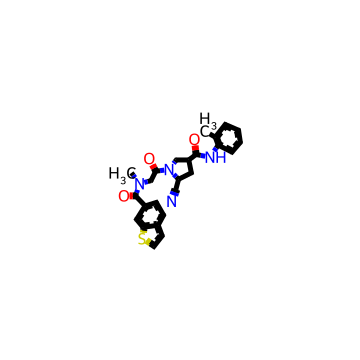 Cc1ccccc1NC(=O)C1CC(C#N)N(C(=O)CN(C)C(=O)c2ccc3ccsc3c2)C1